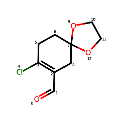 O=CC1=C(Cl)CCC2(C1)OCCO2